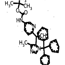 Cc1ncn(C(c2ccccc2)(c2ccccc2)c2ccccc2)c1C(C)c1ccc(NC(=O)OC(C)(C)C)cn1